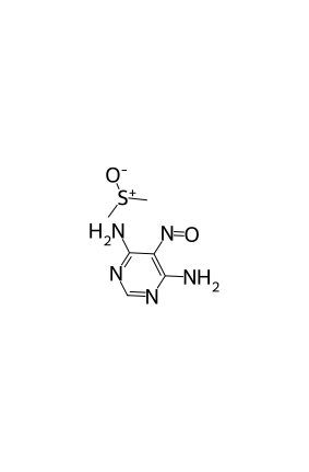 C[S+](C)[O-].Nc1ncnc(N)c1N=O